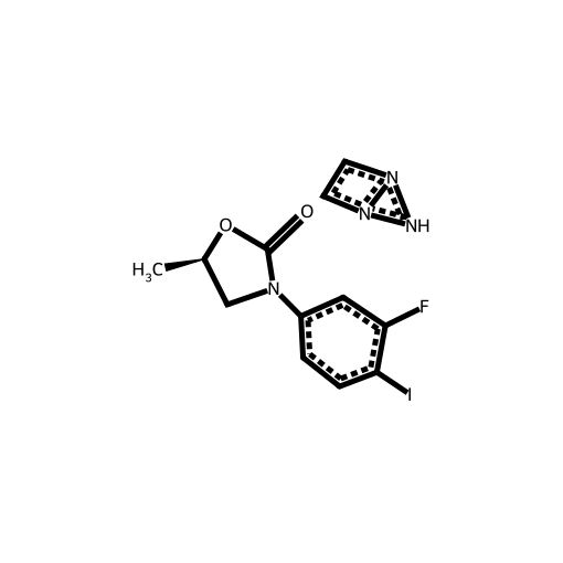 C[C@@H]1CN(c2ccc(I)c(F)c2)C(=O)O1.c1cn2[nH]n12